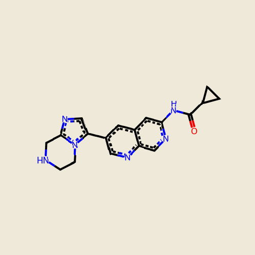 O=C(Nc1cc2cc(-c3cnc4n3CCNC4)cnc2cn1)C1CC1